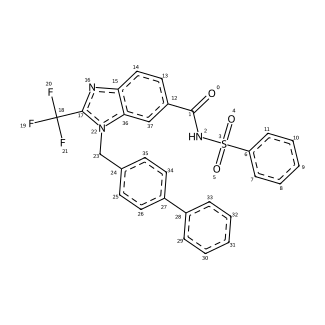 O=C(NS(=O)(=O)c1ccccc1)c1ccc2nc(C(F)(F)F)n(Cc3ccc(-c4ccccc4)cc3)c2c1